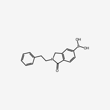 O=C1c2ccc(B(O)O)cc2CN1CCc1ccccc1